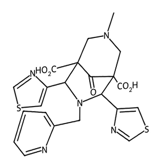 CN1CC2(C(=O)O)C(=O)C(C(=O)O)(C1)C(c1cscn1)N(Cc1ccccn1)C2c1cscn1